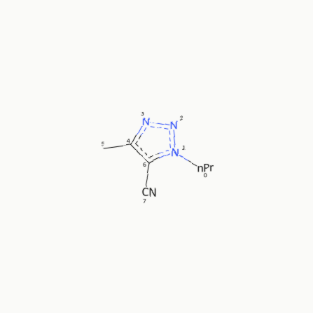 CCCn1nnc(C)c1C#N